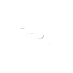 CCCOC(=O)CCCCI